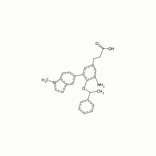 CC(Oc1c(N)cc(CCC(=O)O)cc1-c1ccc2c(ccn2C)c1)c1ccccc1